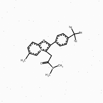 [2H]C([2H])([2H])c1ccc(-c2nc3ccc(C)cn3c2CC(=O)N(C)C)cc1